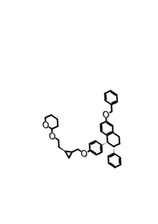 c1ccc(COc2ccc3c(c2)CC[C@H](c2ccccc2)[C@@H]3c2ccc(OCC3C[C@H]3CCOC3CCCCO3)cc2)cc1